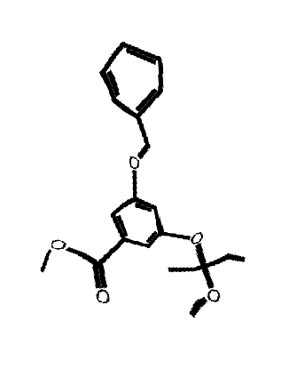 COC(=O)c1cc(OCc2ccccc2)cc(OC(C)(C)OC)c1